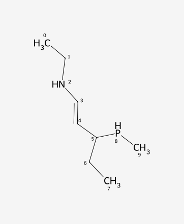 CCNC=CC(CC)PC